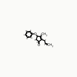 C=CCC1=C(C)C(Oc2ccccc2)CC1=O